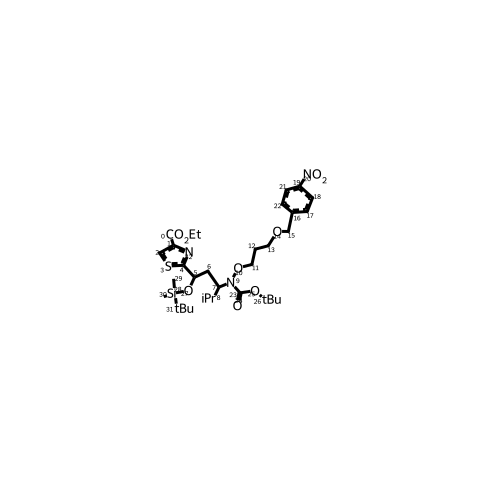 CCOC(=O)c1csc(C(CC(C(C)C)N(OCCCOCc2ccc([N+](=O)[O-])cc2)C(=O)OC(C)(C)C)O[Si](C)(C)C(C)(C)C)n1